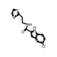 O=C(NCCc1nccs1)c1cc2cc(Cl)ccc2[nH]1